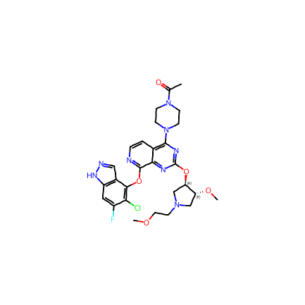 COCCN1C[C@@H](OC)[C@H](Oc2nc(N3CCN(C(C)=O)CC3)c3ccnc(Oc4c(Cl)c(F)cc5[nH]ncc45)c3n2)C1